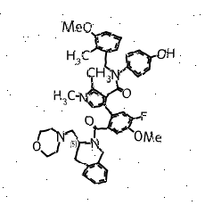 COc1cc(C(=O)N2Cc3ccccc3C[C@H]2CN2CCOCC2)c(-c2cn(C)c(C)c2C(=O)N(Cc2cccc(OC)c2C)c2ccc(O)cc2)cc1F